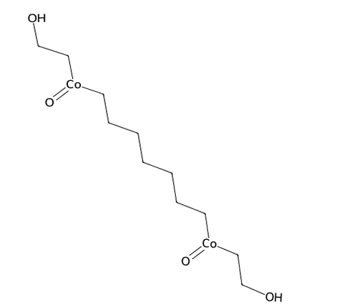 [O]=[Co]([CH2]CO)[CH2]CCCCC[CH2][Co](=[O])[CH2]CO